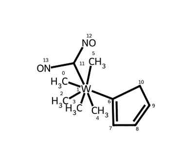 [CH3][W]([CH3])([CH3])([CH3])([CH3])([C]1=CC=CC1)[CH](N=O)N=O